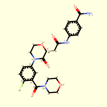 NC(=O)c1ccc(NC(=O)[CH][C@H]2OCCN(c3ccc(F)c(C(=O)N4CCOCC4)c3)C2=O)cc1